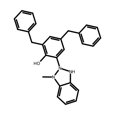 CN1c2ccccc2NN1c1cc(Cc2ccccc2)cc(Cc2ccccc2)c1O